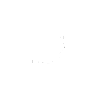 C[CH2][Ru][CH2]C